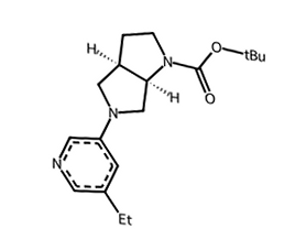 CCc1cncc(N2C[C@H]3CCN(C(=O)OC(C)(C)C)[C@H]3C2)c1